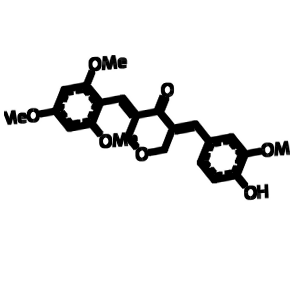 COc1cc(OC)c(/C=C2\COC/C(=C\c3ccc(O)c(OC)c3)C2=O)c(OC)c1